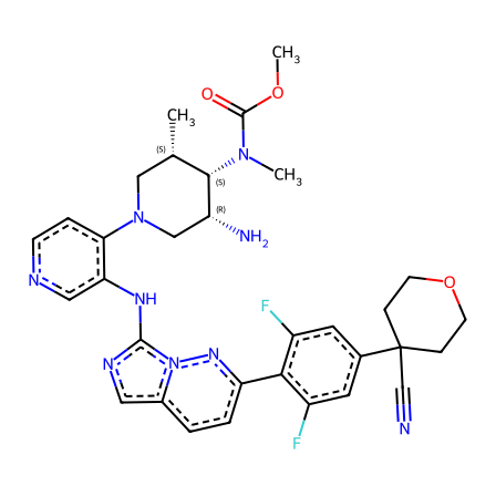 COC(=O)N(C)[C@@H]1[C@H](N)CN(c2ccncc2Nc2ncc3ccc(-c4c(F)cc(C5(C#N)CCOCC5)cc4F)nn23)C[C@@H]1C